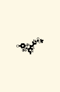 C=S(=O)(Nc1cc(C)nc2sc(-c3cnn(C(=O)OC(C)(C)C)c3)c(Br)c12)c1cccc(Cl)c1